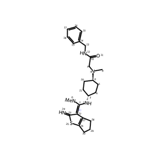 CN/C(N[C@H]1CC[C@H](N(C)CC(=O)NCc2ccccc2)CC1)=C1\C(=N)SC2=C1CCC2